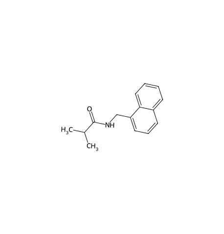 CC(C)C(=O)NCc1cccc2ccccc12